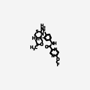 C[C@H]1C[C@H]2CSC(N)=N[C@@]2(c2cc(NC(=O)c3cnc(OCF)cn3)ccc2F)CO1